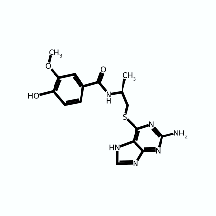 COc1cc(C(=O)N[C@@H](C)CSc2nc(N)nc3nc[nH]c23)ccc1O